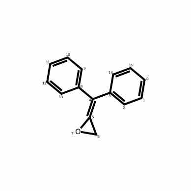 c1ccc(C(=C2CO2)c2ccccc2)cc1